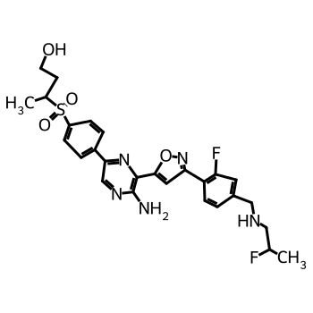 CC(F)CNCc1ccc(-c2cc(-c3nc(-c4ccc(S(=O)(=O)C(C)CCO)cc4)cnc3N)on2)c(F)c1